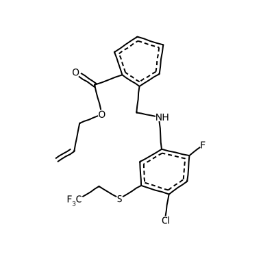 C=CCOC(=O)c1ccccc1CNc1cc(SCC(F)(F)F)c(Cl)cc1F